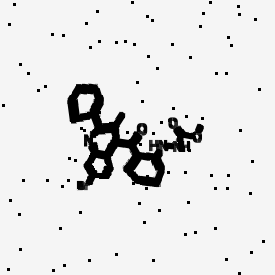 COC(=O)NNc1ccccc1C(=O)c1c(C)c(-c2ccccc2)nc2cc(Br)ccc12